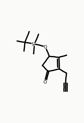 C#CCC1=C(C)C(O[Si](C)(C)C(C)(C)C)CC1=O